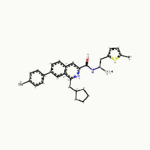 CC(C)c1ccc(C[C@H](NC(=O)c2cc3ccc(-c4ccc(C(C)(C)C)cc4)cc3c(CC3CCCC3)n2)C(=O)O)s1